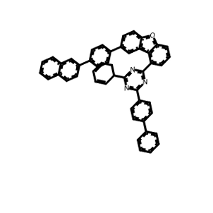 C1=CCC(c2nc(-c3ccc(-c4ccccc4)cc3)nc(-c3cccc4oc5ccc(-c6ccc(-c7ccc8ccccc8c7)cc6)cc5c34)n2)C=C1